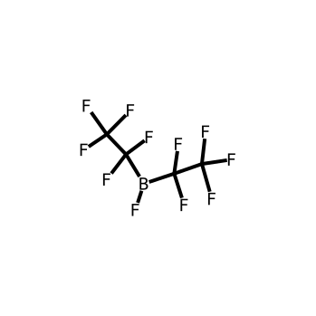 FB(C(F)(F)C(F)(F)F)C(F)(F)C(F)(F)F